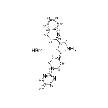 Br.NCC(CCN1CCN(c2ncc(F)cn2)CC1)C1=Nc2ccccc2CC1